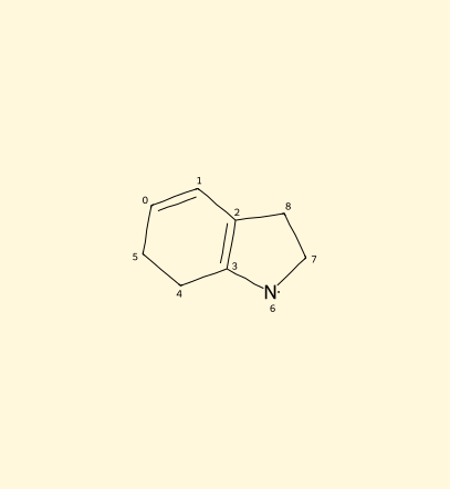 C1=CC2=C(CC1)[N]CC2